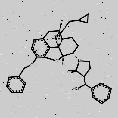 O=C1C(C(O)c2ccccc2)CCN1[C@H]1CC[C@@]2(O)[C@H]3Cc4ccc(OCc5ccccc5)c5c4[C@@]2(CCN3CC2CC2)[C@H]1O5